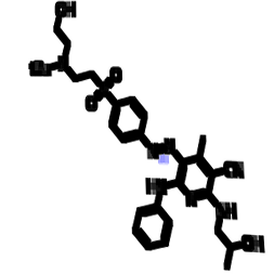 Cc1c(C#N)c(NCC(C)O)nc(Nc2ccccc2)c1/N=N/c1ccc(S(=O)(=O)CCN(CCO)C(C)(C)C)cc1